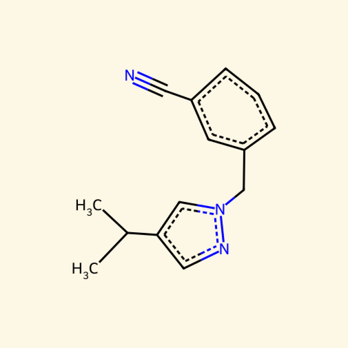 CC(C)c1cnn(Cc2cccc(C#N)c2)c1